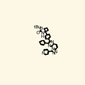 CC(C)(C)OC(=O)NC1(c2ccc(-c3nc4ccc5nnc(-c6ccncc6)n5c4nc3-c3ccccc3)cc2)CCC1